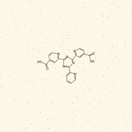 O=C(O)c1ccnc(-c2nc(-c3ccccn3)nc(-c3cc(C(=O)O)ccn3)n2)c1